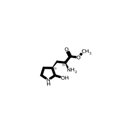 COC(=O)[C@@H](N)C[C@@H]1CCNC1O